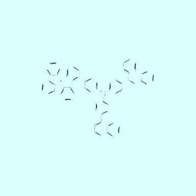 c1ccc(C2(c3ccccc3)c3ccccc3-c3c(-c4ccc(N(c5ccc(-c6cccc7ccccc67)cc5)c5ccc(-c6cc7ccccc7c7ccccc67)cc5)cc4)cccc32)cc1